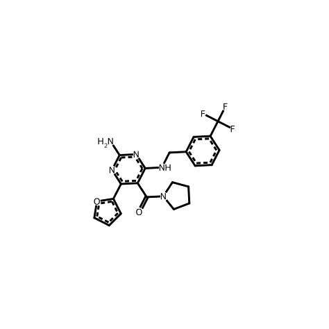 Nc1nc(NCc2cccc(C(F)(F)F)c2)c(C(=O)N2CCCC2)c(-c2ccco2)n1